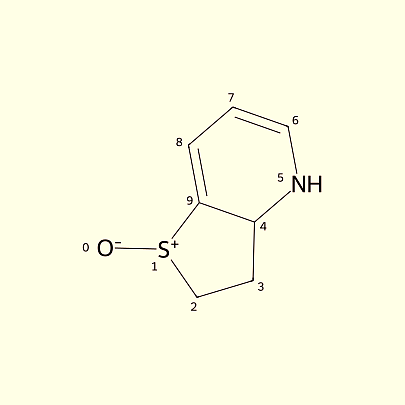 [O-][S+]1CCC2NC=CC=C21